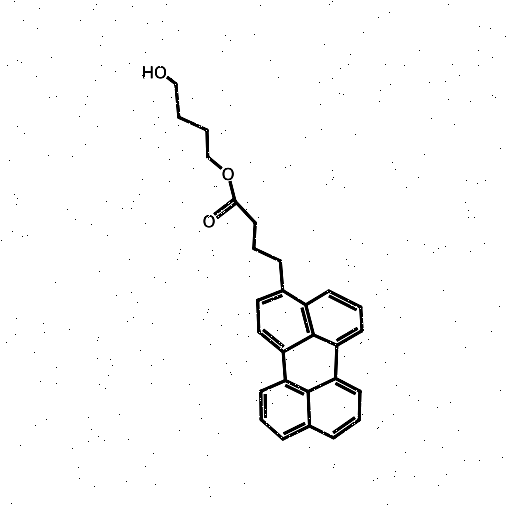 O=C(CCCc1ccc2c3cccc4cccc(c5cccc1c52)c43)OCCCCO